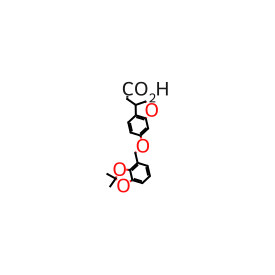 CC1(C)Oc2cccc(COc3ccc4c(c3)OCC4CC(=O)O)c2O1